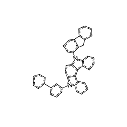 c1ccc(-c2cccc(-n3c4ccccc4c4c5c6ccccc6n(-c6cccc7c6Cc6ccccc6-7)c5ccc43)c2)cc1